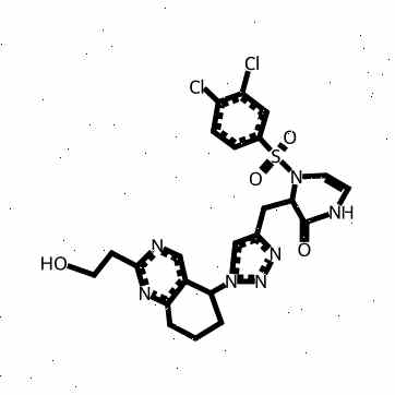 O=C1NC=CN(S(=O)(=O)c2ccc(Cl)c(Cl)c2)C1Cc1cn(C2CCCc3nc(CCO)ncc32)nn1